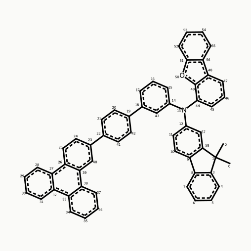 CC1(C)c2ccccc2-c2ccc(N(c3cccc(-c4ccc(-c5ccc6c7ccccc7c7ccccc7c6c5)cc4)c3)c3cccc4c3oc3ccccc34)cc21